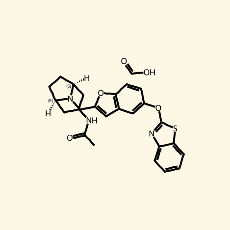 CC(=O)NC1C[C@H]2CC[C@@H](C1)N2Cc1cc2cc(Oc3nc4ccccc4s3)ccc2o1.O=CO